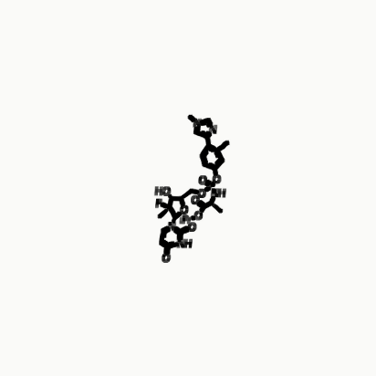 Cc1cc(OP(=O)(N[C@@H](C)C(=O)OC(C)C)OC[C@H]2O[C@@H](n3ccc(=O)[nH]c3=O)[C@](C)(F)[C@@H]2O)ccc1-c1cn(C)cn1